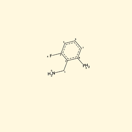 NCc1c(F)cccc1P